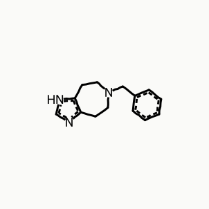 c1ccc(CN2CCc3nc[nH]c3CC2)cc1